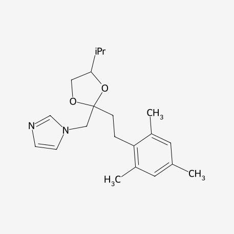 Cc1cc(C)c(CCC2(Cn3ccnc3)OCC(C(C)C)O2)c(C)c1